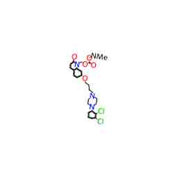 CNOC(=O)OCn1c(=O)ccc2ccc(OCCCCN3CCN(c4cccc(Cl)c4Cl)CC3)cc21